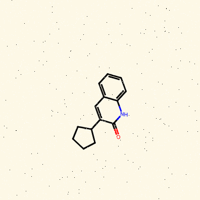 O=c1[nH]c2ccccc2cc1C1CCCC1